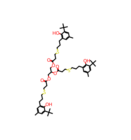 Cc1cc(CCCSCCC(=O)OCC(COC(=O)CCSCCCc2cc(C)cc(C(C)(C)C)c2O)OC(=O)CCSCCCc2cc(C)cc(C(C)(C)C)c2O)c(O)c(C(C)(C)C)c1